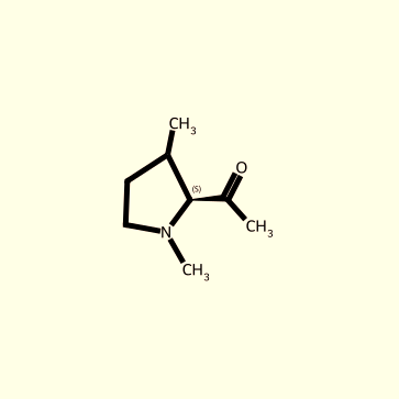 CC(=O)[C@@H]1C(C)CCN1C